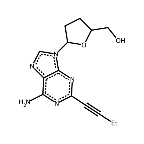 CCC#Cc1nc(N)c2ncn(C3CCC(CO)O3)c2n1